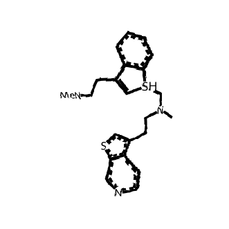 CNCCC1=C[SH](CN(C)CCc2csc3cnccc23)c2ccccc21